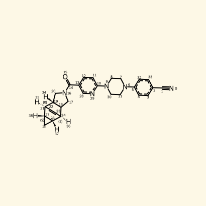 N#Cc1ccc(N2CCN(c3ccc(C(=O)N4CC5[C@@H](C4)[C@H]4C=C[C@@H]5[C@@H]5C[C@H]45)cn3)CC2)cc1